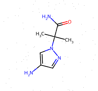 CC(C)(C(N)=O)n1cc(N)cn1